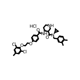 Cc1cc(Cl)c(OCCOc2ccc(C(=O)N[C@@H]3CCNCC3C(=O)N(Cc3ccc(C)c(C)c3)C3CC3)cc2)c(Cl)c1.Cl